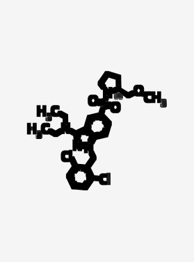 CCN(CC)c1nn(Cc2c(Cl)cccc2Cl)c2ccc(S(=O)(=O)N3CCC[C@H]3COC)cc12